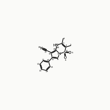 CC1=C(C)S(=O)(=O)n2cc(-c3ccccc3)c(C#N)c2N1